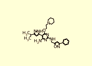 CC(C)c1cc(-c2c(N)nc(NCc3cc(-c4ccccc4)no3)nc2OCCN2CCCCC2)[nH]n1